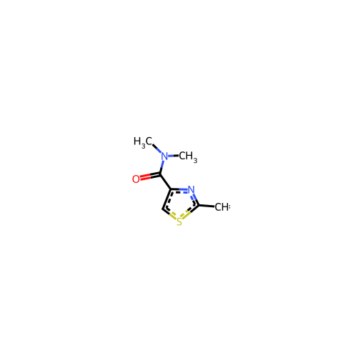 [CH]c1nc(C(=O)N(C)C)cs1